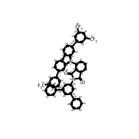 O=C1c2cccc(-n3c4cc(-c5cc(C(F)(F)F)cc(C(F)(F)F)c5)ccc4c4ccc(-c5cc(C(F)(F)F)cc(C(F)(F)F)c5)cc43)c2C(=O)N1c1cc(-c2ccccc2)cc(-c2ccccc2)c1